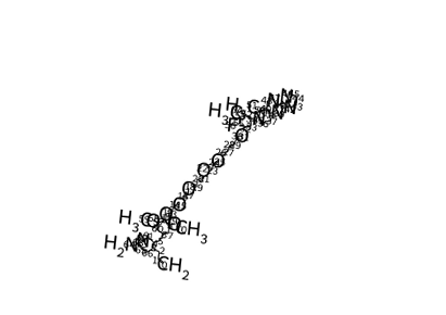 C=CCC1=C(Cc2cc(OC)c(OCCOCCOCCCOCCOCCCCCOc3cc(N4CCc5nc(-c6ncccn6)ncc5[C@H]4C)cc(C)c3F)c(OC)c2)C=NC(N)=C=C1